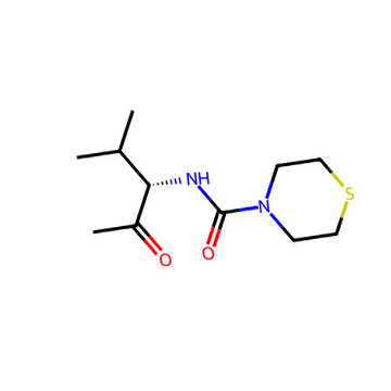 CC(=O)[C@@H](NC(=O)N1CCSCC1)C(C)C